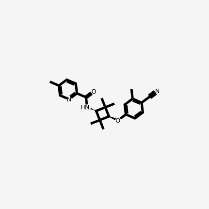 Cc1ccc(C(=O)N[C@H]2C(C)(C)[C@H](Oc3ccc(C#N)c(C)c3)C2(C)C)nc1